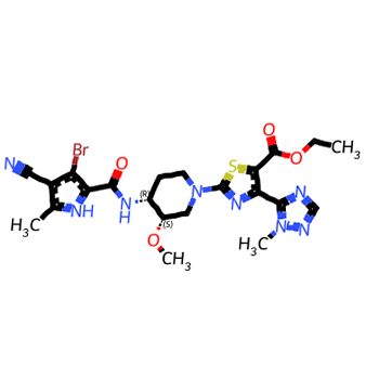 CCOC(=O)c1sc(N2CC[C@@H](NC(=O)c3[nH]c(C)c(C#N)c3Br)[C@@H](OC)C2)nc1-c1ncnn1C